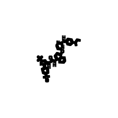 CCC(C)c1ccc(Nc2nccc(Oc3ccc(NC(=O)Nc4cc(C(C)(C)C)nn4-c4ccc(P(C)(C)=O)cc4)c4ccccc34)n2)cc1